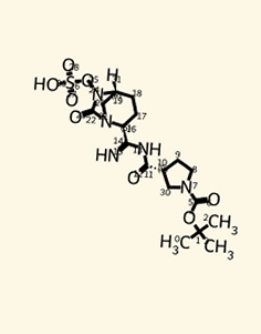 CC(C)(C)OC(=O)N1CC[C@@H](C(=O)NC(=N)[C@@H]2CC[C@@H]3CN2C(=O)N3OS(=O)(=O)O)C1